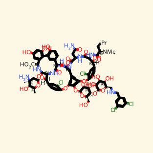 CN[C@H](CC(C)C)C(=O)NC1C(=O)NC(CC(N)=O)C(=O)N[C@H]2C(=O)N[C@H]3C(=O)N[C@H](C(=O)NC(C(=O)O)c4cc(O)cc(O)c4-c4cc3ccc4O)[C@H](O[C@H]3C[C@](C)(N)[C@@H](O)[C@H](C)O3)c3ccc(c(Cl)c3)Oc3cc2cc(c3O[C@@H]2O[C@H](CO)[C@@H](O[C@@H]3O[C@H](CNCc4cc(Cl)cc(Cl)c4)[C@H](O)[C@H](O)[C@H]3O)[C@H](O)[C@H]2O)Oc2ccc(cc2Cl)[C@H]1O